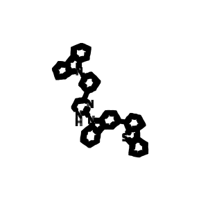 C1=C(c2cccc(-n3c4ccccc4c4ccccc43)c2)N=C(n2c3ccccc3c3cc(-c4cccc5c4sc4ccccc45)ccc32)NC1